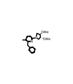 CO[C@@H]1CN(c2ccc(I)c(Cc3ccccc3)n2)C[C@H]1OC